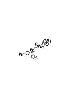 N#Cc1ccc(-n2nc(CCC(=O)NCCN3CCNC3=O)cc2-c2cccc(F)c2)cc1